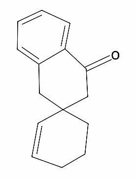 O=C1CC2(C=CCCC2)Cc2ccccc21